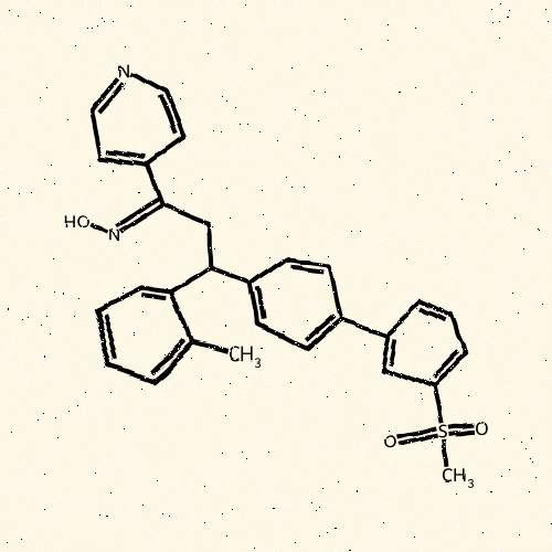 Cc1ccccc1C(C/C(=N/O)c1ccncc1)c1ccc(-c2cccc(S(C)(=O)=O)c2)cc1